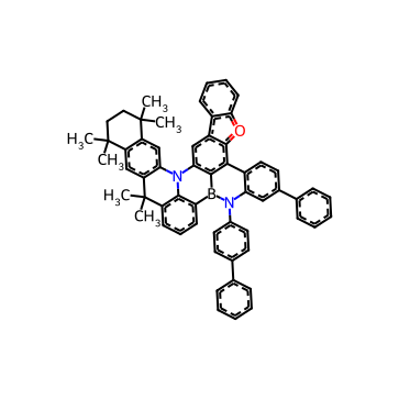 CC1(C)CCC(C)(C)c2cc3c(cc21)N1c2cc4c(oc5ccccc54)c4c2B(c2cccc(c21)C3(C)C)N(c1ccc(-c2ccccc2)cc1)c1cc(-c2ccccc2)ccc1-4